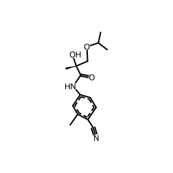 Cc1cc(NC(=O)[C@](C)(O)COC(C)C)ccc1C#N